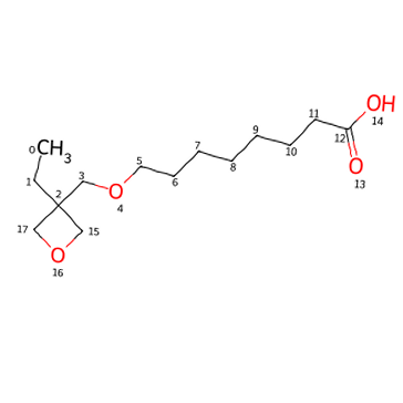 CCC1(COCCCCCCCC(=O)O)COC1